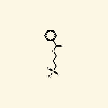 O=C(OCCCS(=O)(=O)O)c1ccccc1